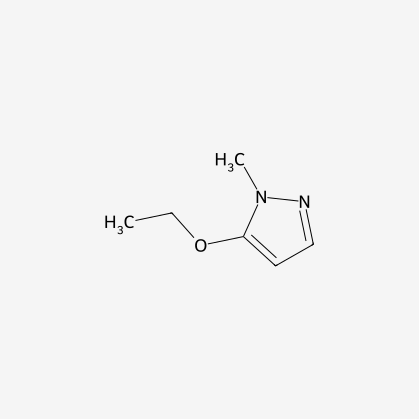 CCOc1ccnn1C